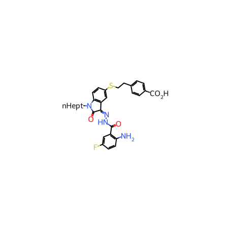 CCCCCCCN1C(=O)C(=NNC(=O)c2cc(F)ccc2N)c2cc(SCCc3ccc(C(=O)O)cc3)ccc21